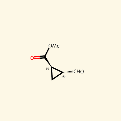 COC(=O)[C@@H]1C[C@H]1C=O